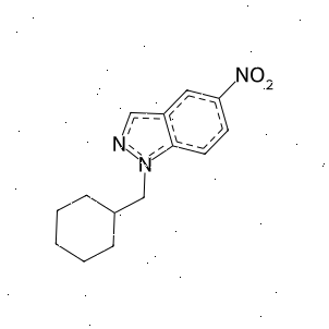 O=[N+]([O-])c1ccc2c(cnn2CC2CCCCC2)c1